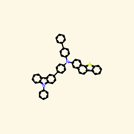 c1ccc(-c2ccc(N(c3ccc(-c4ccc5c(c4)c4ccccc4n5-c4ccccc4)cc3)c3ccc4c(ccc5c6ccccc6sc45)c3)cc2)cc1